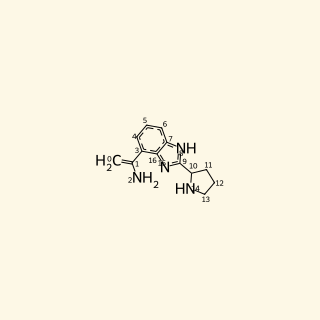 C=C(N)c1cccc2[nH]c(C3CCCN3)nc12